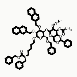 CC(=O)OC1C(N=[N+]=[N-])C(O[C@@H]2[C@H](OCc3ccc4ccccc4c3)[C@@H](OCc3ccc4ccccc4c3)[C@@H](OCCCCCN(Cc3ccccc3)C(=O)OCc3ccccc3)O[C@@H]2COCc2ccccc2)OC2COC(c3ccccc3)OC21